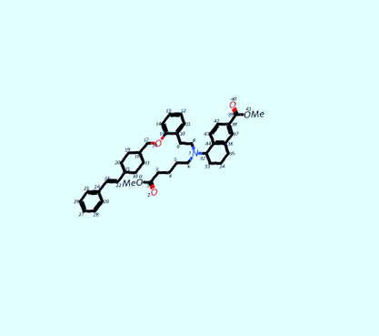 COC(=O)CCCCN(CCc1ccccc1OCC1CCC(C=Cc2ccccc2)CC1)C1CCCc2cc(C(=O)OC)ccc21